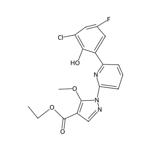 CCOC(=O)c1cnn(-c2cccc(-c3cc(F)cc(Cl)c3O)n2)c1OC